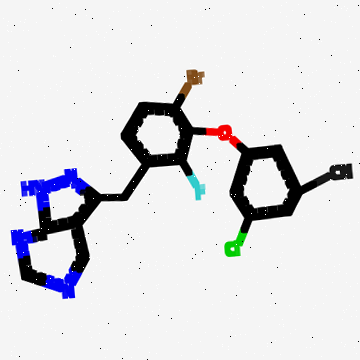 N#Cc1cc(Cl)cc(Oc2c(Br)ccc(Cc3n[nH]c4ncncc34)c2F)c1